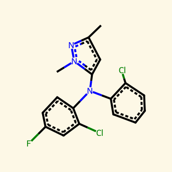 Cc1cc(N(c2ccccc2Cl)c2ccc(F)cc2Cl)n(C)n1